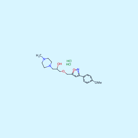 COc1ccc(-c2cc(COCC(O)CN3CCN(C)CC3)on2)cc1.Cl.Cl